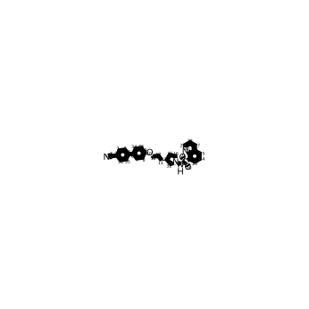 N#Cc1ccc(-c2ccc(OCCC[C@@H]3CCN(NS(=O)(=O)c4cccc5cccnc45)C3)cc2)cc1